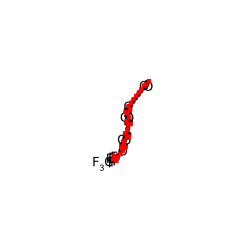 C=CC(=O)OCCCCCCCCCCCOC1CCC(C(=O)Oc2ccc(C#Cc3ccc(OC(=O)C4CCC(OCCCCC(F)(F)C(F)(F)C(F)(F)C(F)(F)F)CC4)cc3)cc2)CC1